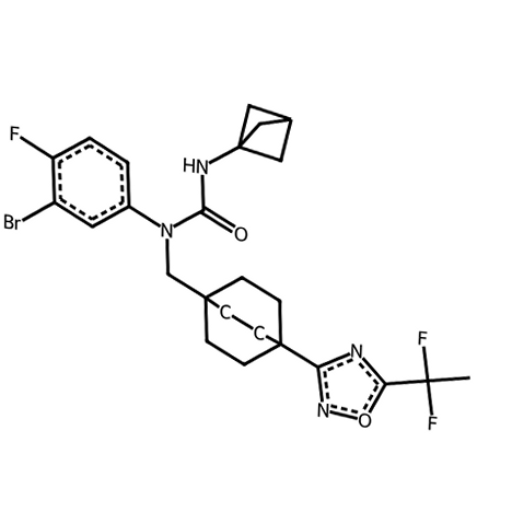 CC(F)(F)c1nc(C23CCC(CN(C(=O)NC45CC(C4)C5)c4ccc(F)c(Br)c4)(CC2)CC3)no1